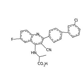 CC(Nc1c(C#N)c(-c2ccc(-c3cccc(Cl)c3)cc2)nc2ccc(F)cc12)C(=O)O